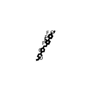 C=CC1CCC(C2CCC(CCc3ccc(-c4ccc(OCC)c(F)c4F)c(F)c3F)CO2)CO1